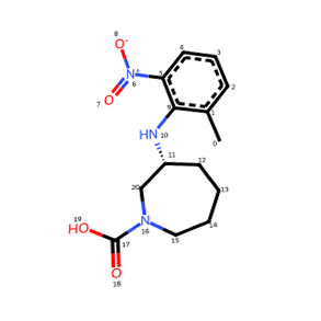 Cc1cccc([N+](=O)[O-])c1N[C@@H]1CCCCN(C(=O)O)C1